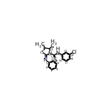 CC1S/C(=N/c2ccccc2)N(C(=S)Nc2cccc(Cl)c2)C1C